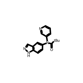 CC(C)(C)C(=O)N(c1cccnc1)c1ccc2[nH]ncc2c1